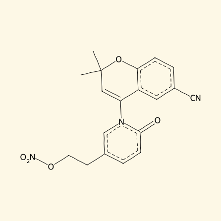 CC1(C)C=C(n2cc(CCO[N+](=O)[O-])ccc2=O)c2cc(C#N)ccc2O1